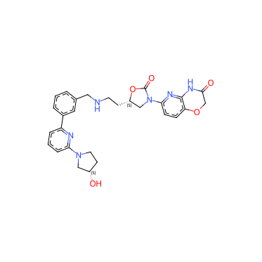 O=C1COc2ccc(N3C[C@H](CCNCc4cccc(-c5cccc(N6CC[C@H](O)C6)n5)c4)OC3=O)nc2N1